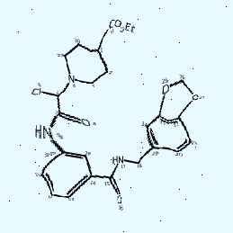 CCOC(=O)C1CCN(C(Cl)C(=O)Nc2cccc(C(=O)NCc3ccc4c(c3)OCO4)c2)CC1